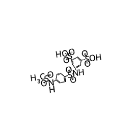 CS(=O)(=O)Nc1ccc(S(=O)(=O)Nc2cc(S(=O)(=O)O)cc(S(=O)(=O)O)c2)cc1